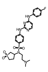 CN(C)CCN(C1CCS(=O)(=O)C1)S(=O)(=O)c1ccc(Nc2nccc(Nc3ccc(F)cc3)n2)cc1